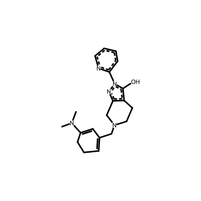 CN(C)C1=CC(CN2CCc3c(nn(-c4ccccn4)c3O)C2)=CCC1